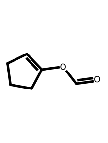 O=COC1=CCCC1